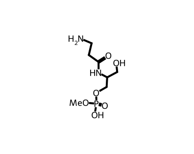 COP(=O)(O)OCC(CO)NC(=O)CCN